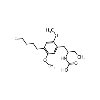 CCC(Cc1cc(OC)c(CCCCF)cc1OC)NC(=O)O